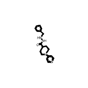 O=C(NNCc1ccccc1)C1CCN(c2ccncc2)CC1